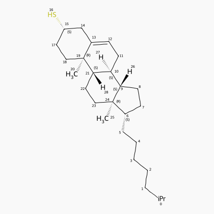 CC(C)CCCCC[C@H]1CC[C@H]2[C@@H]3CC=C4C[C@@H](S)CC[C@]4(C)[C@H]3CC[C@]12C